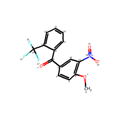 COc1ccc(C(=O)c2ccccc2C(F)(F)F)cc1[N+](=O)[O-]